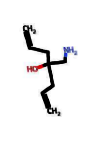 C=CCC(O)(CN)CC=C